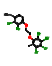 CCCCCCCCCc1ccc(OCCOc2c(C)c(Br)c(Br)c(Br)c2Br)c(Br)c1Br